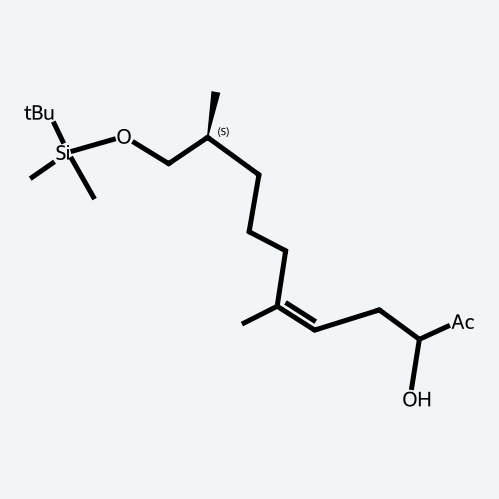 CC(=O)C(O)CC=C(C)CCC[C@H](C)CO[Si](C)(C)C(C)(C)C